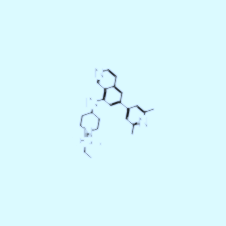 CCS(=O)(=O)N1CCC(Nc2cc(-c3cc(C)nc(C)c3)cc3ccncc23)CC1